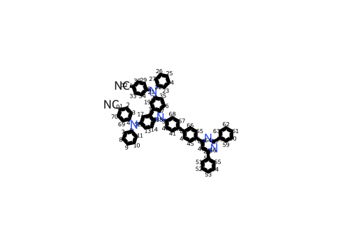 N#Cc1ccc(N(c2ccccc2)c2ccc3c(c2)c2cc(N(c4ccccc4)c4ccc(C#N)cc4)ccc2n3-c2ccc(-c3ccc(-c4cc(-c5ccccc5)nc(-c5ccccc5)n4)cc3)cc2)cc1